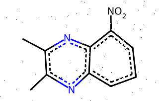 Cc1nc2cccc([N+](=O)[O-])c2nc1C